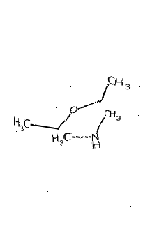 CCOCC.CNC